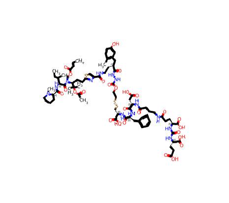 CCCC(=O)OCN(C(=O)[C@@H](NC(=O)[C@H]1CCCCN1C)C(C)CC)C(CCc1nc(C(=O)NCC[C@H](Cc2cc(O)ccc2C)C(=O)NNC(=O)OCCSSC[C@H](NC(=O)[C@H](Cc2ccccc2)NC(=O)[C@H](CC(=O)O)NC(=O)CCCNC(=O)CC[C@H](NC(=O)N[C@@H](CCC(=O)O)C(=O)O)C(=O)O)C(=O)O)cs1)C(C)(C)OC(C)=O